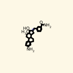 C[C@]12CCC3c4ccc(N)cc4CCC3C1C/C(=C\c1cccc(C(N)=O)c1)[C@@H]2O